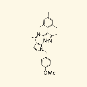 COc1ccc(Cn2ccc3c(C)nc4c(-c5c(C)cc(C)cc5C)c(C)nn4c32)cc1